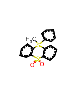 CS1(c2ccccc2)c2ccccc2S(=O)(=O)c2ccccc21